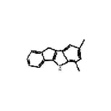 Cc1cc(C)c2[nH]c3c(c2c1)Cc1ccccc1-3